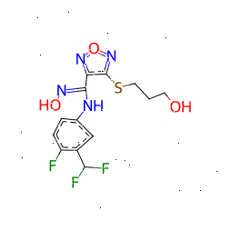 OCCCSc1nonc1/C(=N/O)Nc1ccc(F)c(C(F)F)c1